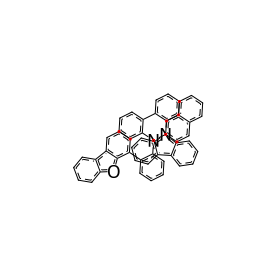 c1ccc(N(c2ccc3ccccc3c2)c2ccccc2-c2cccc3c2oc2ccccc23)c(-c2ccccc2-n2c3ccccc3c3ccccc32)c1